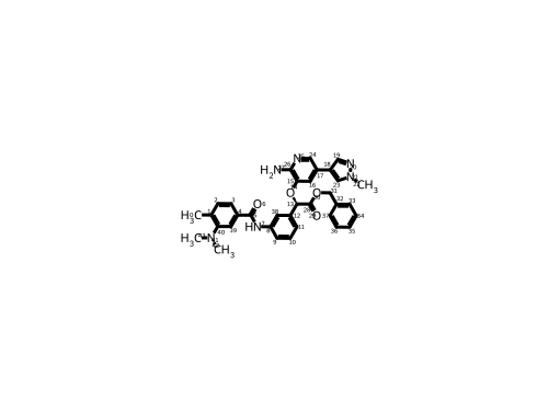 Cc1ccc(C(=O)Nc2cccc([C@@H](Oc3cc(-c4cnn(C)c4)cnc3N)C(=O)OCc3ccccc3)c2)cc1N(C)C